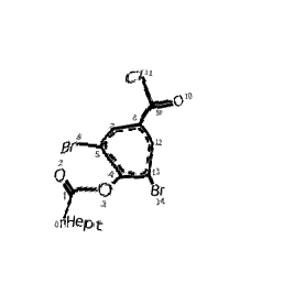 CCCCCCCC(=O)Oc1c(Br)cc(C(=O)Cl)cc1Br